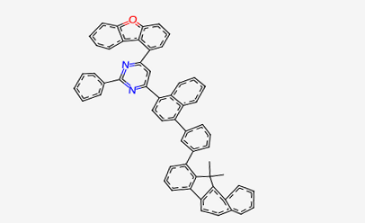 CC1(C)c2c(-c3cccc(-c4ccc(-c5cc(-c6cccc7oc8ccccc8c67)nc(-c6ccccc6)n5)c5ccccc45)c3)cccc2-c2ccc3ccccc3c21